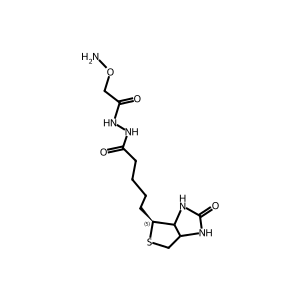 NOCC(=O)NNC(=O)CCCC[C@@H]1SCC2NC(=O)NC21